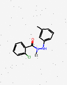 CCN(Nc1cccc(C)c1)C(=O)c1ccccc1Cl